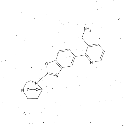 NCc1cccnc1-c1ccc2oc(N3CCN4CCC3CC4)nc2c1